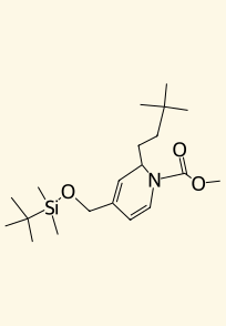 COC(=O)N1C=CC(CO[Si](C)(C)C(C)(C)C)=CC1CCC(C)(C)C